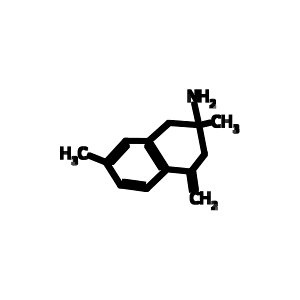 C=C1CC(C)(N)Cc2cc(C)ccc21